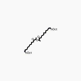 CCCCCCCC/C=C\CCCCCCCC(=O)C(C)OC(C)C(=O)CCCCCCC/C=C\CCCCCCCC